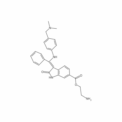 CN(C)Cc1ccc(NC(=C2C(=O)Nc3cc(C(=O)OCCN)ccc32)c2ccccc2)cc1